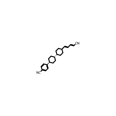 N#C/C=C/C=C/C1CCC([C@H]2CC[C@H](c3ccc(C#N)cc3)CC2)CC1